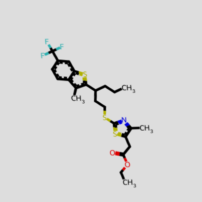 CCCC(CCSc1nc(C)c(CC(=O)OCC)s1)c1sc2cc(C(F)(F)F)ccc2c1C